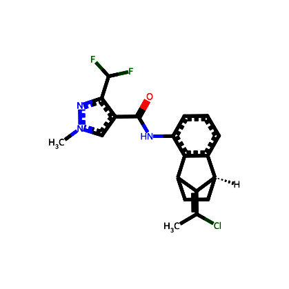 C/C(Cl)=C1\C2CC[C@@H]1c1cccc(NC(=O)c3cn(C)nc3C(F)F)c12